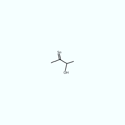 C[C](=[Sn])C(C)O